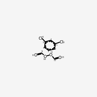 Clc1cccc(Cl)c1.O=COOC=O